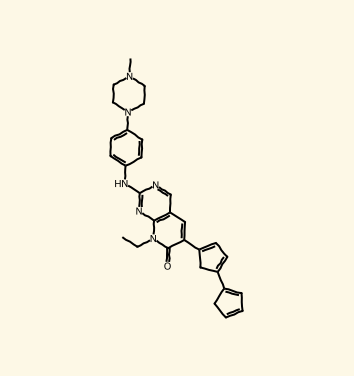 CCn1c(=O)c(C2=CC=C(C3=CC=CC3)C2)cc2cnc(Nc3ccc(N4CCN(C)CC4)cc3)nc21